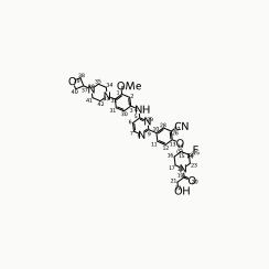 COc1cc(Nc2ccnc(-c3ccc(O[C@H]4CCN(C(=O)CO)C[C@H]4F)c(C#N)c3)n2)ccc1N1CCN(C2COC2)CC1